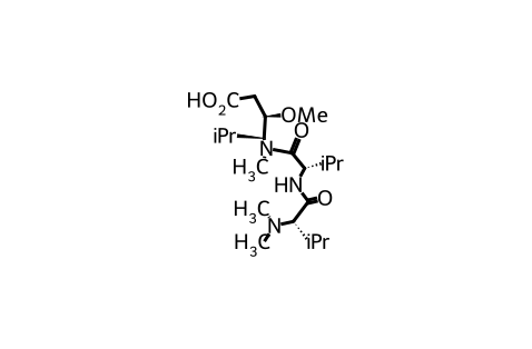 CO[C@H](CC(=O)O)[C@H](C(C)C)N(C)C(=O)[C@@H](NC(=O)[C@H](C(C)C)N(C)C)C(C)C